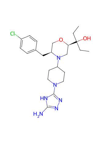 CCC(O)(CC)[C@H]1CN(C2CCN(c3nnc(N)[nH]3)CC2)[C@@H](Cc2ccc(Cl)cc2)CO1